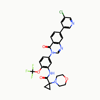 O=C(Nc1cc(-n2cnc3cc(-c4cncc(Cl)c4)ccc3c2=O)ccc1OC(F)(F)F)C1(N2CCOCC2)CC1